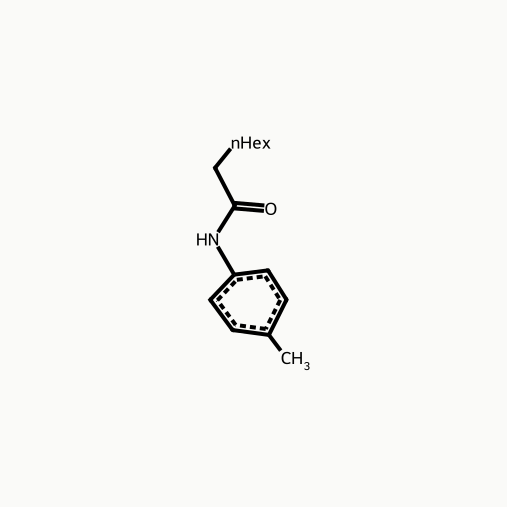 CCCCCCCC(=O)Nc1ccc(C)cc1